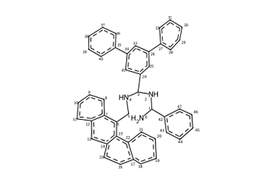 NC(NC(NCc1c2ccccc2cc2ccc3ccccc3c12)c1cc(-c2ccccc2)cc(-c2ccccc2)c1)c1ccccc1